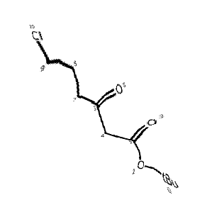 CC(C)(C)OC(=O)CC(=O)CCCCl